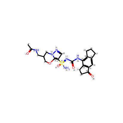 CC(=O)NCC1COc2c(S(N)(=O)=NC(=O)Nc3c4c(cc5c3CCC5=O)CCC4)cnn2C1